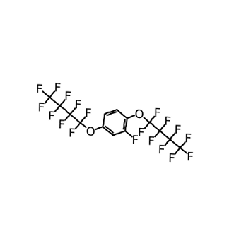 Fc1cc(OC(F)(F)C(F)(F)C(F)(F)C(F)(F)F)ccc1OC(F)(F)C(F)(F)C(F)(F)C(F)(F)F